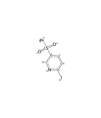 CC(C)S(=O)(=O)c1ccc(I)nc1